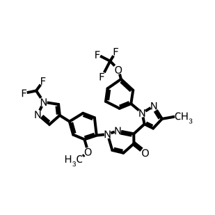 COc1cc(-c2cnn(C(F)F)c2)ccc1-n1ccc(=O)c(-c2cc(C)nn2-c2cccc(OC(F)(F)F)c2)n1